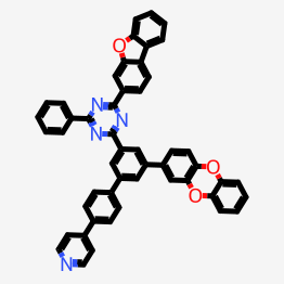 c1ccc(-c2nc(-c3cc(-c4ccc(-c5ccncc5)cc4)cc(-c4ccc5c(c4)Oc4ccccc4O5)c3)nc(-c3ccc4c(c3)oc3ccccc34)n2)cc1